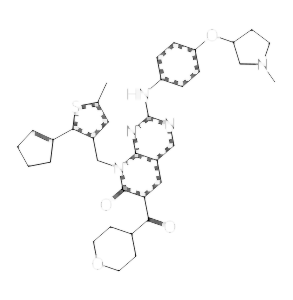 Cc1cc(Cn2c(=O)c(C(=O)C3CCOCC3)cc3cnc(Nc4ccc(OC5CCN(C)C5)cc4)nc32)c(C2=CCCC2)s1